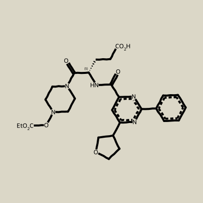 CCOC(=O)ON1CCN(C(=O)[C@H](CCC(=O)O)NC(=O)c2cc(C3CCOC3)nc(-c3ccccc3)n2)CC1